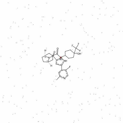 Cc1cc(-c2cc(C(=O)N3[C@@H]4CC[C@H]3CC(C(=O)NC3CCC(O)(C(F)(F)F)CC3)C4)n[nH]2)c(F)cn1